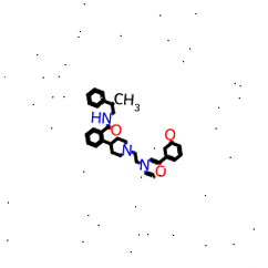 CC(CNC(=O)c1ccccc1C1CCN(CCN2C=COC(C3=CC=CC(=O)C3)=C2)CC1)c1ccccc1